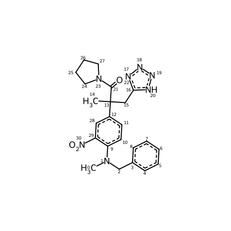 CN(Cc1ccccc1)c1ccc(C(C)(Cc2nnn[nH]2)C(=O)N2CCCC2)cc1[N+](=O)[O-]